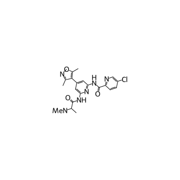 CNC(C)C(=O)Nc1cc(-c2c(C)noc2C)cc(NC(=O)c2ccc(Cl)cn2)n1